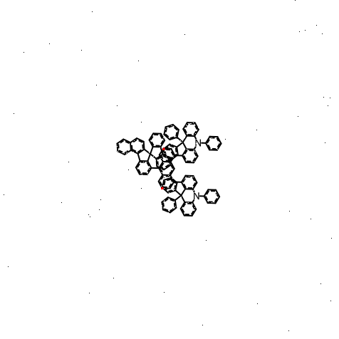 c1ccc(N2c3ccccc3C(c3ccccc3)(c3ccccc3)c3c(-c4cccc5c(-c6cccc7c6C6(c8ccccc8-c8ccccc86)c6ccc8ccccc8c6-7)c6cccc(-c7cccc8c7C(c7ccccc7)(c7ccccc7)c7ccccc7N8c7ccccc7)c6cc45)cccc32)cc1